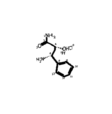 Cl.NC(=O)[C@H](O)[C@@H](N)c1ccccc1